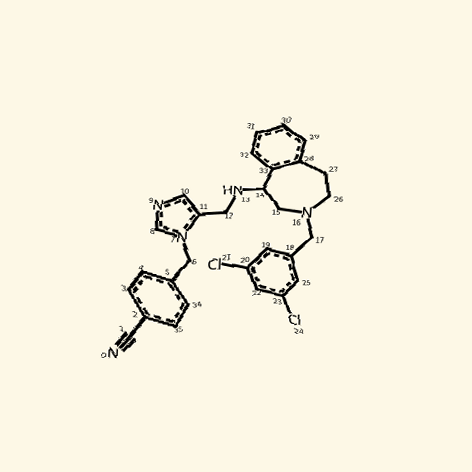 N#Cc1ccc(Cn2cncc2CNC2CN(Cc3cc(Cl)cc(Cl)c3)CCc3ccccc32)cc1